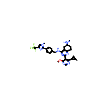 CNC1CCc2nc(-c3c(OC)ncnc3C3CC3)nc(NCc3ccc(-c4nc(C(F)(F)F)cn4C)cc3)c2C1